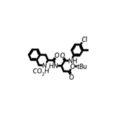 Cc1cc(NC(=O)C(CC(=O)OC(C)(C)C)NC(=O)C2Cc3ccccc3CN2C(=O)O)ccc1Cl